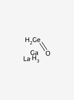 [GaH3].[La].[O]=[GeH2]